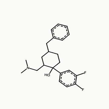 CN(C)CC1CC(Cc2ccccc2)CCC1(O)c1ccc(F)c(F)c1